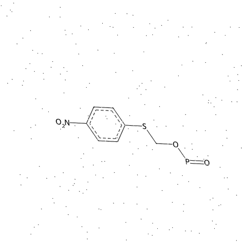 O=POCSc1ccc([N+](=O)[O-])cc1